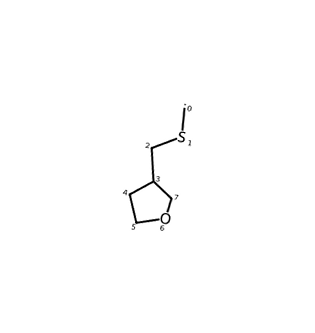 [CH2]SCC1CCOC1